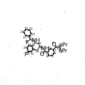 CCCN(CCC)C(=O)c1cccc(C(=O)NC(CCNCc2ccccc2)Cc2cc(F)cc(F)c2)c1